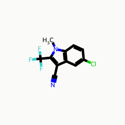 Cn1c(C(F)(F)F)c(C#N)c2cc(Cl)ccc21